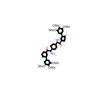 COc1cc(-c2cc(C(=O)C(N)c3ccc(C(N)C(=O)c4ccc(F)c(-c5cc(OC)c(OC)c(OC)c5)c4)cc3)ccc2F)cc(OC)c1OC